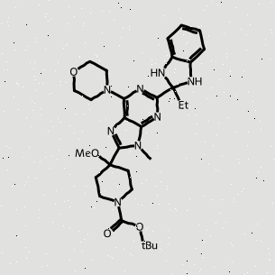 CCC1(c2nc(N3CCOCC3)c3nc(C4(OC)CCN(C(=O)OC(C)(C)C)CC4)n(C)c3n2)Nc2ccccc2N1